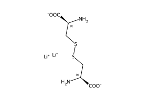 N[C@@H](CSSC[C@H](N)C(=O)[O-])C(=O)[O-].[Li+].[Li+]